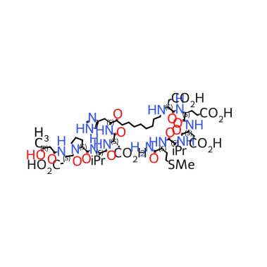 CSCC[C@H](NC(=O)[C@@H](NC(=O)[C@H](CC(=O)O)NC(=O)[C@H](CCC(=O)O)NC(=O)[C@H](CC(=O)O)NCCCCCCCCC(=O)[C@H](Cc1c[nH]cn1)NC(=O)[C@H](CC(=O)O)NC(=O)[C@@H](NC(=O)[C@@H]1CCCN1C(=O)[C@H](CC(=O)O)NC(=O)C[C@@H](C)O)C(C)C)C(C)C)C(N)=O